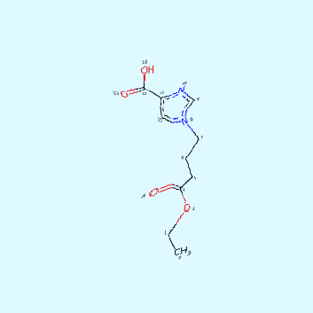 CCOC(=O)CCCn1cnc(C(=O)O)c1